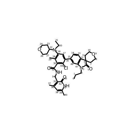 CCCN1C(=O)C2(CCOCC2)c2ccc(-c3cc(N(CC)C4CCOCC4)c(C)c(C(=O)NCc4c(C)cc(C)[nH]c4=O)c3Cl)cc21